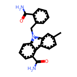 Cc1c[c]c2c3c(C(N)=O)cccc3n(Cc3ccccc3C(N)=O)c2c1